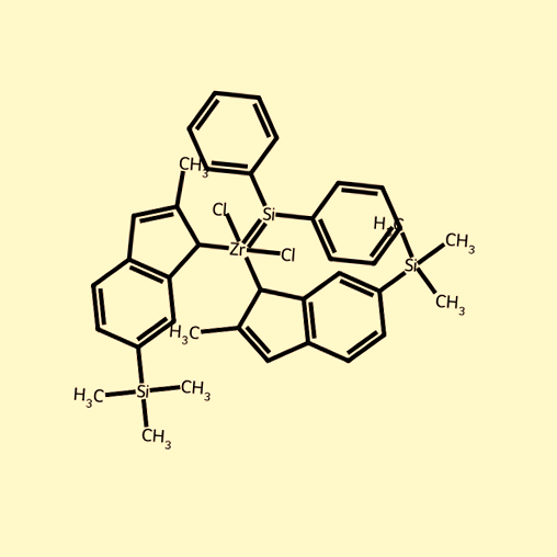 CC1=Cc2ccc([Si](C)(C)C)cc2[CH]1[Zr]([Cl])([Cl])([CH]1C(C)=Cc2ccc([Si](C)(C)C)cc21)=[Si](c1ccccc1)c1ccccc1